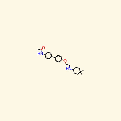 CC(=O)Nc1ccc(-c2ccc(OCCNC3CCC(C)(C)CC3)cc2)cc1